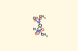 C=CCC(C)(C(=O)c1ccc(N(CCOC)CCOC)cc1)N1CCOCC1